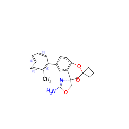 CC1=C(c2ccc3c(c2)C2(COC(N)=N2)C2(COC2)C2(CCC2)O3)/C=C\C=C\C=C\1